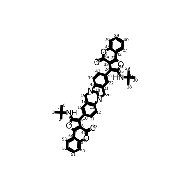 CC(C)(C)Nc1oc2c(c1-c1ccc3c(c1)CN1CN3Cc3cc(-c4c(NC(C)(C)C)oc5c4c(=O)oc4ccccc45)ccc31)c(=O)oc1ccccc12